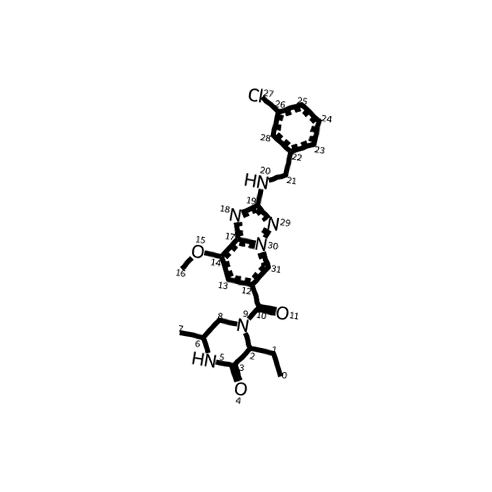 CCC1C(=O)NC(C)CN1C(=O)c1cc(OC)c2nc(NCc3cccc(Cl)c3)nn2c1